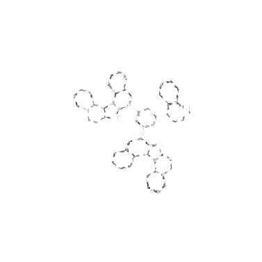 c1ccc2c(c1)ccc1oc3c(-c4cc(-c5ccnc6ccccc56)cc(-c5cc6ccccc6c6c5oc5ccc7ccccc7c56)c4)cc4ccccc4c3c12